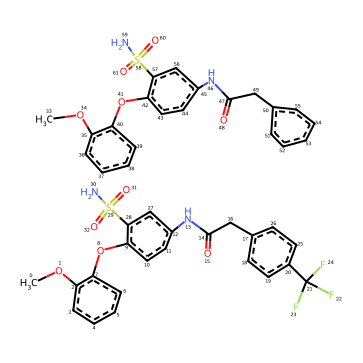 COc1ccccc1Oc1ccc(NC(=O)Cc2ccc(C(F)(F)F)cc2)cc1S(N)(=O)=O.COc1ccccc1Oc1ccc(NC(=O)Cc2ccccc2)cc1S(N)(=O)=O